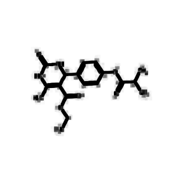 CCOC(=O)C1=C(C)NC(=O)NC1c1ccc(OC(=O)C(C)C)cc1